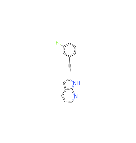 Fc1cccc(C#Cc2cc3cccnc3[nH]2)c1